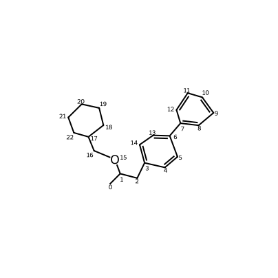 CC(Cc1ccc(-c2ccccc2)cc1)OCC1CCCCC1